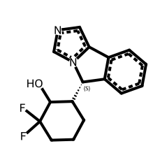 OC1C([C@H]2c3ccccc3-c3cncn32)CCCC1(F)F